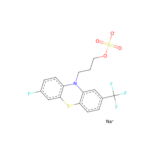 O=S(=O)([O-])OCCCN1c2ccc(F)cc2Sc2ccc(C(F)(F)F)cc21.[Na+]